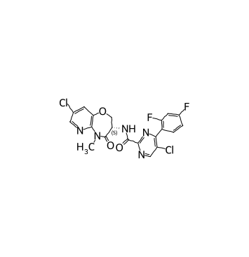 CN1C(=O)[C@@H](NC(=O)c2ncc(Cl)c(-c3ccc(F)cc3F)n2)COc2cc(Cl)cnc21